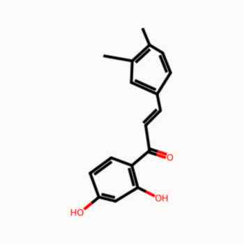 Cc1ccc(/C=C/C(=O)c2ccc(O)cc2O)cc1C